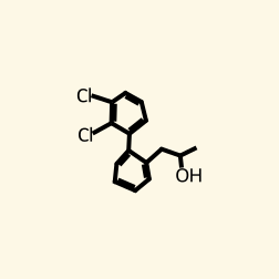 CC(O)Cc1ccccc1-c1cccc(Cl)c1Cl